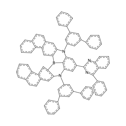 c1ccc(-c2cc(-c3ccccc3)cc(N3c4cc5ccc6ccccc6c5cc4B4c5cc6c(ccc7ccccc76)cc5N(c5cc(-c6ccccc6)cc(-c6ccccc6)c5)c5cc(-c6nc(-c7ccccc7)c7ccccc7n6)cc3c54)c2)cc1